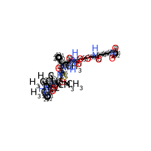 CCCO[C@H](C[C@H](C(C)C)N(CCC)C(=O)[C@@H](NC(=O)[C@H]1CCCCN1C)[C@@H](C)CC)c1nc(C(=O)N[C@@H](Cc2ccccc2)C[C@H](C)C(=O)NNC(=O)OCCOCCNC(=O)CCCCCN2C(=O)C=CC2=O)cs1